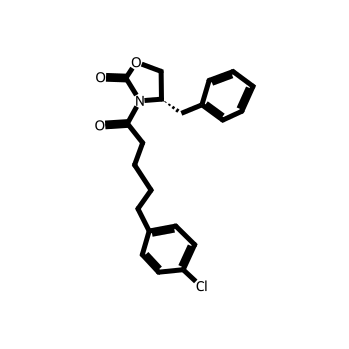 O=C(CCCCc1ccc(Cl)cc1)N1C(=O)OC[C@@H]1Cc1ccccc1